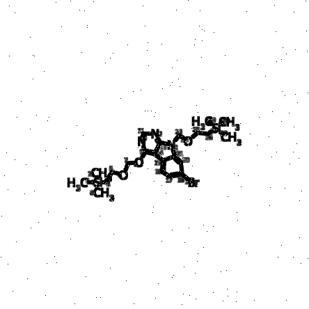 C[Si](C)(C)CCOCOc1ncnc2c1c1ccc(Br)cc1n2COCC[Si](C)(C)C